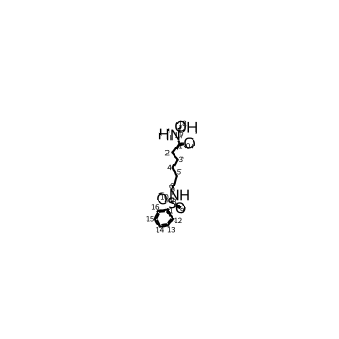 O=C(CCCCCNS(=O)(=O)c1ccccc1)NO